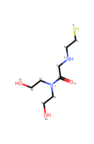 O=C(CNCCS)N(CCO)CCO